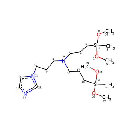 CO[Si](C)(CCCN(CCCn1ccnc1)CCC[Si](C)(OC)OC)OC